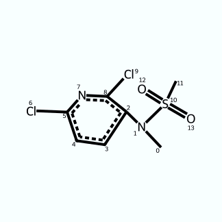 CN(c1ccc(Cl)nc1Cl)S(C)(=O)=O